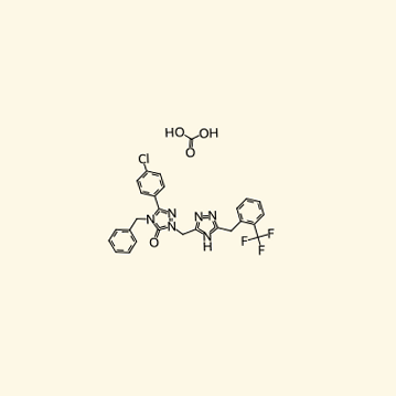 O=C(O)O.O=c1n(Cc2nnc(Cc3ccccc3C(F)(F)F)[nH]2)nc(-c2ccc(Cl)cc2)n1Cc1ccccc1